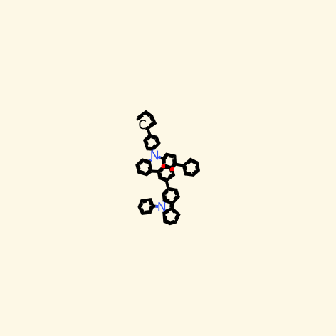 c1ccc(-c2ccc(N(c3ccc(-c4ccccc4)cc3)c3ccccc3-c3cccc(-c4ccc5c6ccccc6n(-c6ccccc6)c5c4)c3)cc2)cc1